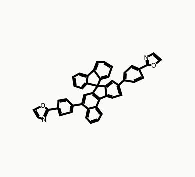 c1ccc2c(c1)-c1ccccc1C21c2cc(-c3ccc(-c4ncco4)cc3)ccc2-c2c1cc(-c1ccc(-c3ncco3)cc1)c1ccccc21